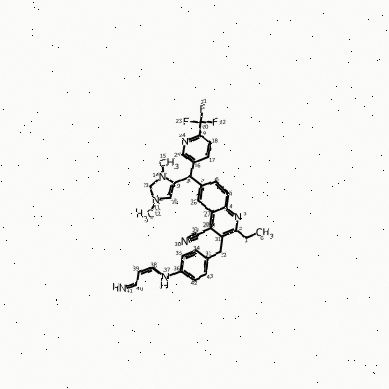 CCc1nc2ccc(C(C3=CN(C)CN3C)c3ccc(C(F)(F)F)nc3)cc2c(C#N)c1Cc1ccc(N/C=C\C=N)cc1